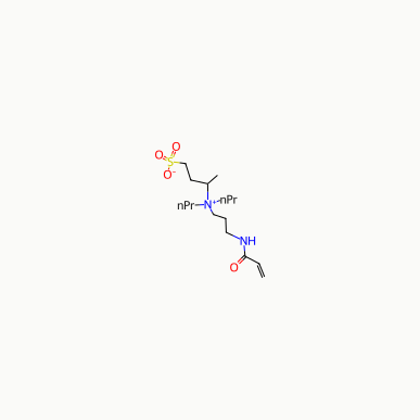 C=CC(=O)NCCC[N+](CCC)(CCC)C(C)CCS(=O)(=O)[O-]